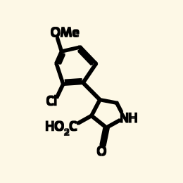 COc1ccc(C2CNC(=O)C2C(=O)O)c(Cl)c1